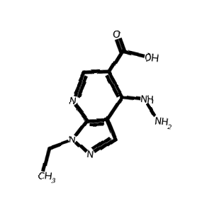 CCn1ncc2c(NN)c(C(=O)O)cnc21